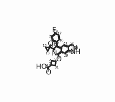 O=C(O)C1CC(Oc2nc(C3(O)CC3)c(-c3ccc(F)cc3)c3cc4cn[nH]c4cc23)C1